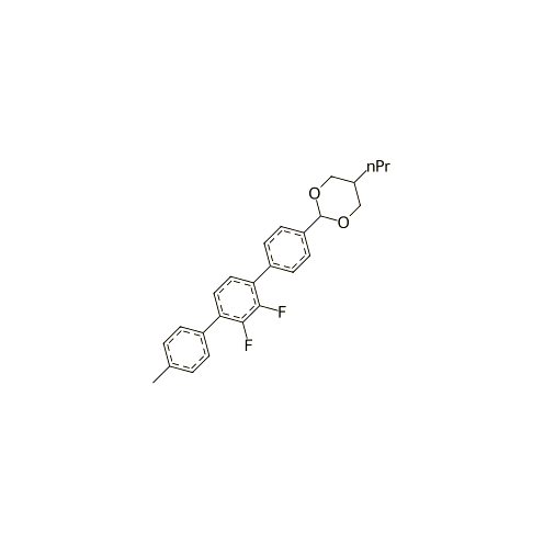 CCCC1COC(c2ccc(-c3ccc(-c4ccc(C)cc4)c(F)c3F)cc2)OC1